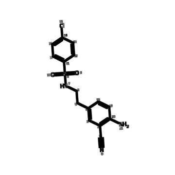 N#Cc1cc(CCNS(=O)(=O)c2ccc(Cl)cc2)ccc1N